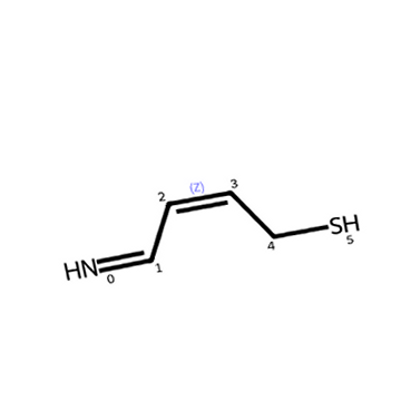 N=C/C=C\CS